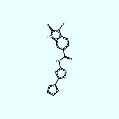 CC(C)n1c(=O)[nH]c2cc(C(=O)Nc3nnc(-c4ccco4)s3)ccc21